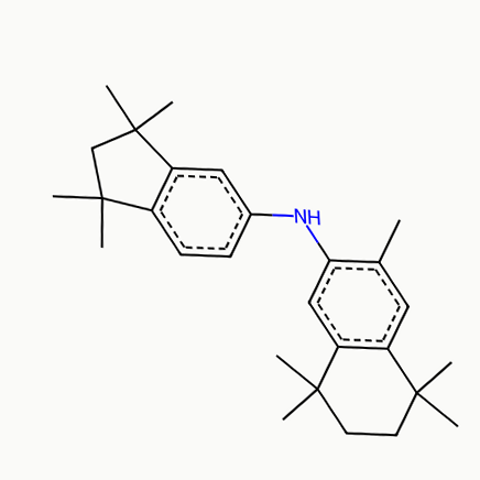 Cc1cc2c(cc1Nc1ccc3c(c1)C(C)(C)CC3(C)C)C(C)(C)CCC2(C)C